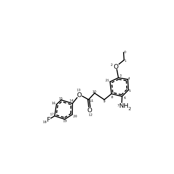 CCOc1ccc(N)c(CCC(=O)Oc2ccc(F)cc2)c1